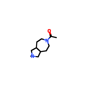 CC(=O)N1CCC2C[N]CC2CC1